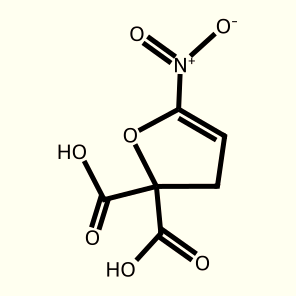 O=C(O)C1(C(=O)O)CC=C([N+](=O)[O-])O1